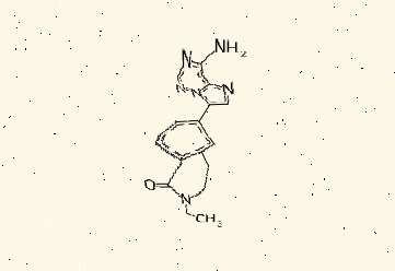 CCN1Cc2cc(-c3cnc4c(N)ncnn34)ccc2C1=O